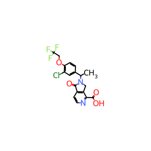 CC(c1ccc(OCC(F)(F)F)c(Cl)c1)N1Cc2c(ccnc2C(=O)O)C1=O